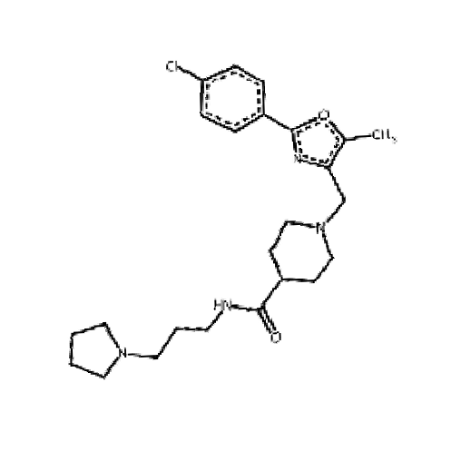 Cc1oc(-c2ccc(Cl)cc2)nc1CN1CCC(C(=O)NCCCN2CCCC2)CC1